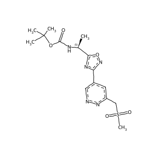 C[C@H](NC(=O)OC(C)(C)C)c1nc(-c2cnnc(CS(C)(=O)=O)c2)no1